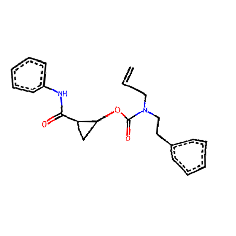 C=CCN(CCc1ccccc1)C(=O)OC1CC1C(=O)Nc1ccccc1